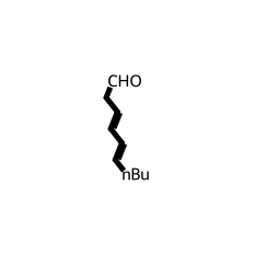 CCCCC=CC=CCC=O